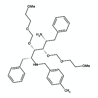 COCCOCO[C@H]([C@@H](OCOCCOC)[C@@H](Cc1ccccc1)NCc1ccc(C)cc1)[C@H](N)Cc1ccccc1